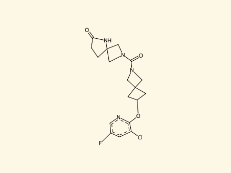 O=C1CCC2(CN(C(=O)N3CC4(CC(Oc5ncc(F)cc5Cl)C4)C3)C2)N1